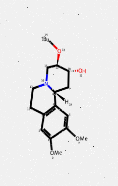 COc1cc2c(cc1OC)[C@H]1C[C@@H](O)[C@H](OC(C)(C)C)CN1CC2